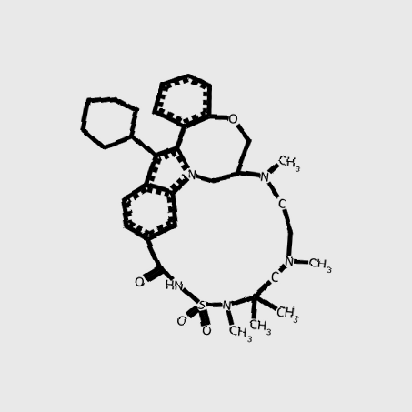 CN1CCN(C)C2COc3ccccc3-c3c(C4CCCCC4)c4ccc(cc4n3C2)C(=O)NS(=O)(=O)N(C)C(C)(C)C1